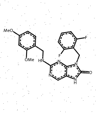 COc1ccc(CNc2ncc3[nH]c(=O)n(Cc4c(F)cccc4F)c3n2)c(OC)c1